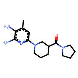 Cc1cc(N2CCCC(C(=O)N3CCCC3)C2)nc(N)c1N